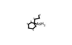 CCCC1([AsH2])CCCCC1